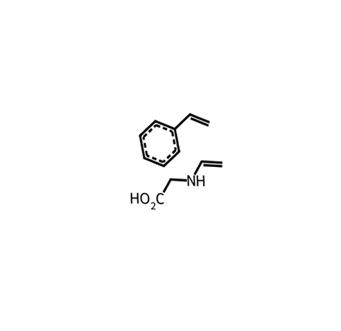 C=CNCC(=O)O.C=Cc1ccccc1